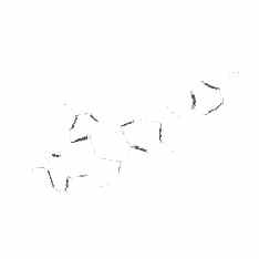 COc1ccc(CNc2ccc(C3CCC(c4ccc(N)cc4)N3c3ccc(C(C)(C)C)cc3)cc2N)cc1